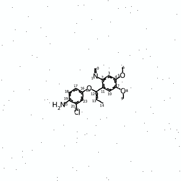 C=Nc1cc(OC)c(OC)cc1/C(=C\C)Oc1ccc(N)c(Cl)c1